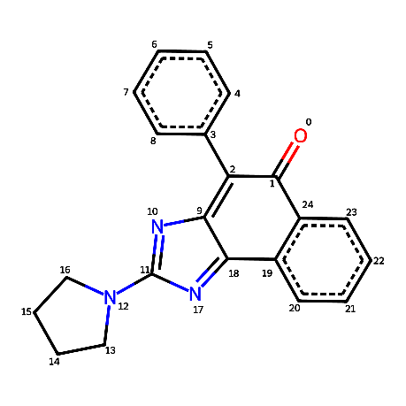 O=C1C(c2ccccc2)=C2N=C(N3CCCC3)N=C2c2ccccc21